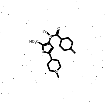 CC1CCC(C(=O)N(c2cc(C3CCN(C)CC3)sc2C(=O)O)C(C)C)CC1